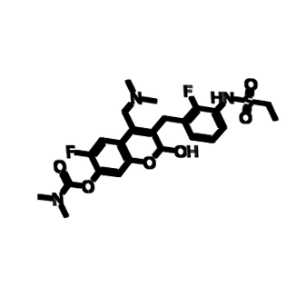 CCS(=O)(=O)Nc1cccc(CC2=C(CN(C)C)c3cc(F)c(OC(=O)N(C)C)cc3OC2O)c1F